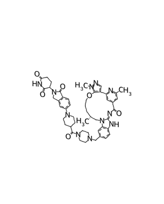 Cc1cc2cc(n1)-c1cnn(C)c1OCCC[C@@H](C)CN1/C(=N/C2=O)Nc2ccc(CN3CCN(C(=O)C4CCN(c5ccc6c(c5)CN(C5CCC(=O)NC5=O)C6=O)CC4)CC3)cc21